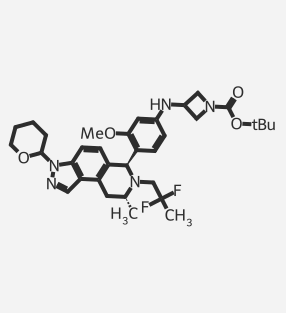 COc1cc(NC2CN(C(=O)OC(C)(C)C)C2)ccc1[C@@H]1c2ccc3c(cnn3C3CCCCO3)c2C[C@@H](C)N1CC(C)(F)F